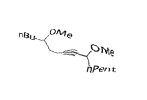 CCCCCC(C#CCC(CCCC)OC)OC